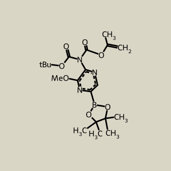 C=C(C)OC(=O)N(C(=O)OC(C)(C)C)c1ncc(B2OC(C)(C)C(C)(C)O2)nc1OC